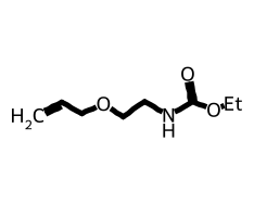 C=CCOCCNC(=O)OCC